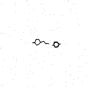 CCCCCCCC1CCC(CCCOc2ccc(C#N)cc2)CC1